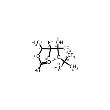 CCC(C)C(=O)OC(C)C(F)(F)C(O)(OC(C)(C(F)(F)F)C(F)(F)F)C(F)(F)F